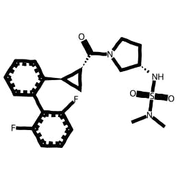 CN(C)S(=O)(=O)N[C@H]1CCN(C(=O)[C@@H]2C[C@H]2c2ccccc2-c2c(F)cccc2F)C1